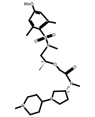 COc1cc(C)c(S(=O)(=O)N(C)C[C@@H](C)OCC(=O)N(C)[C@@H]2CCN(C3CCN(C)CC3)C2)c(C)c1